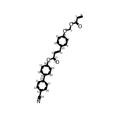 C=CC(=O)OCOc1ccc(C=CC(=O)Oc2ccc(-c3ccc(C#N)cc3)cc2)cc1